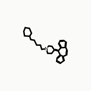 C1=Cc2ccccc2C(=C2CCN(CCCCCC3CCCCC3)CC2)c2ccccc21